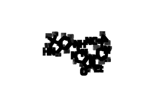 CCn1c(=O)c2cnc(Nc3ccc4c(c3)CNCC4(C)C)nc2n1-c1ccnc(C2(C#N)CC2)c1